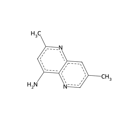 Cc1cnc2c(N)cc(C)nc2c1